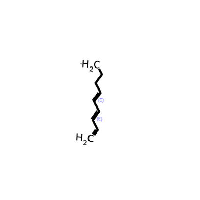 [CH2]CC/C=C/C=C/C=C